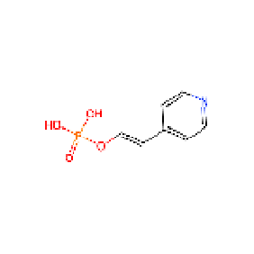 O=P(O)(O)O/C=C/c1ccncc1